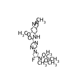 COc1cc2nn(C)cc2cc1NC(=O)c1cnc(N2C[C@@H](N(C)C(=O)OC(C)(C)C)[C@@H](F)C2)cn1